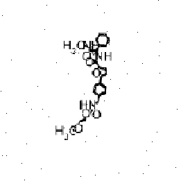 CNC(=O)[C@@H](NC(=O)c1ccc(-c2ccc(CNC(=O)OCCOC)cc2)o1)C1CCCCC1